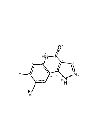 Cc1cc2[nH]c(=O)c3cn[nH]c3c2cc1Br